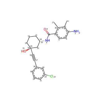 Cc1c(N)ccc(C(=O)N[C@H]2CCC[C@@](O)(C#Cc3cccc(Cl)c3)C2)c1C